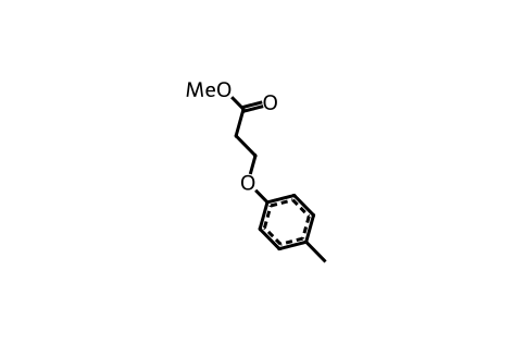 COC(=O)CCOc1ccc(C)cc1